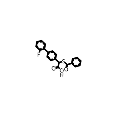 O=C(SC(C(=O)O)c1ccc(-c2ccccc2F)cc1)c1ccccc1